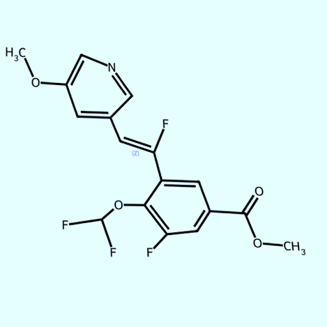 COC(=O)c1cc(F)c(OC(F)F)c(/C(F)=C/c2cncc(OC)c2)c1